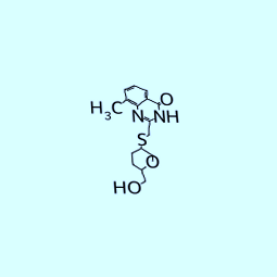 Cc1cccc2c(=O)[nH]c(CSC3CCC(CO)OC3)nc12